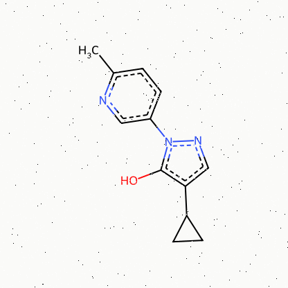 Cc1ccc(-n2ncc(C3CC3)c2O)cn1